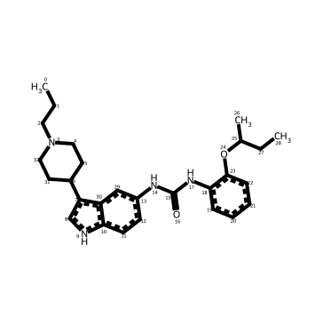 CCCN1CCC(c2c[nH]c3ccc(NC(=O)Nc4ccccc4OC(C)CC)cc23)CC1